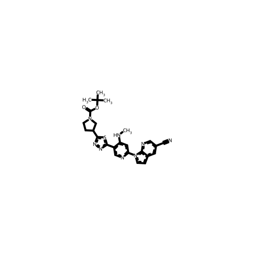 CNc1cc(-n2ccc3cc(C#N)cnc32)ncc1-c1nnc(C2CCN(C(=O)OC(C)(C)C)C2)s1